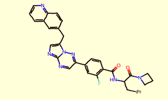 CC(C)CC(NC(=O)c1ccc(-c2cnc3ncc(Cc4ccc5ncccc5c4)n3n2)cc1F)C(=O)N1CCC1